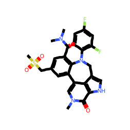 CN(C)C(=O)c1cc(CS(C)(=O)=O)cc2c1N(c1ccc(F)cc1F)Cc1c[nH]c3c(=O)n(C)cc-2c13